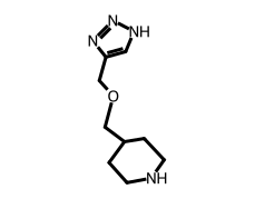 c1[nH]nnc1COCC1CCNCC1